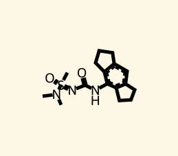 CN(C)S(C)(=O)=NC(=O)Nc1c2c(cc3c1CCC3)CCC2